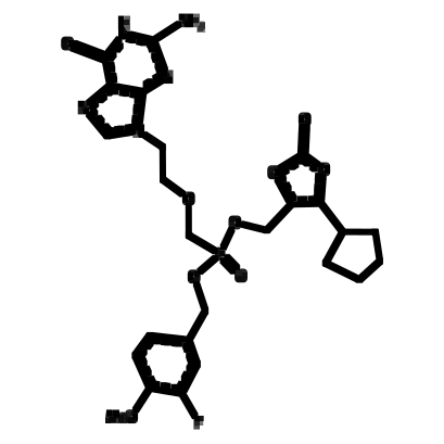 COc1ccc(COP(=O)(COCCn2cnc3c(=O)[nH]c(N)nc32)OCc2oc(=O)oc2C2CCCC2)cc1F